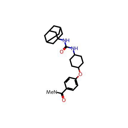 CNC(=O)c1ccc(OC2CCC(NC(=O)NC34CC5CC(CC(C5)C3)C4)CC2)cc1